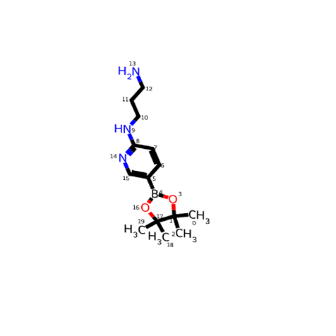 CC1(C)OB(c2ccc(NCCCN)nc2)OC1(C)C